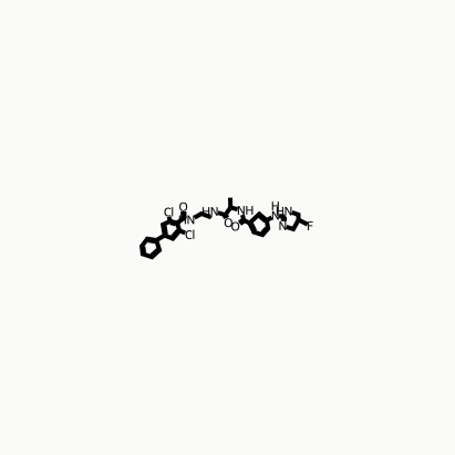 CC(NC(=O)c1cccc(NC2=NCC(F)CN2)c1)C(=O)NCCNC(=O)c1c(Cl)cc(-c2ccccc2)cc1Cl